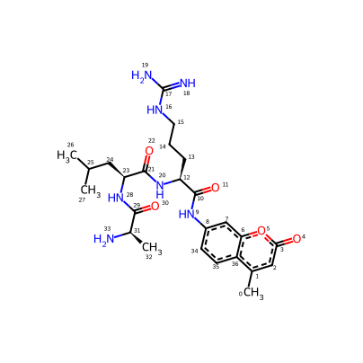 Cc1cc(=O)oc2cc(NC(=O)[C@H](CCCNC(=N)N)NC(=O)[C@H](CC(C)C)NC(=O)[C@@H](C)N)ccc12